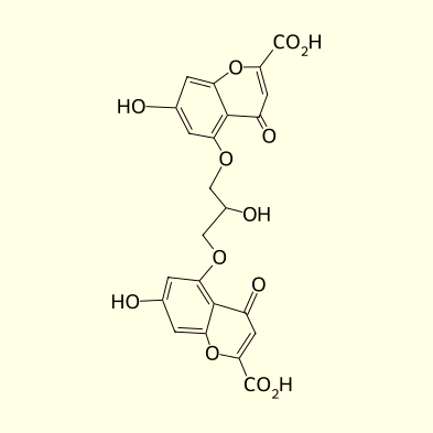 O=C(O)c1cc(=O)c2c(OCC(O)COc3cc(O)cc4oc(C(=O)O)cc(=O)c34)cc(O)cc2o1